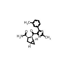 Cc1cccc(-c2sc(C)nc2C(=O)N2[C@H](C(N)=O)C[C@@H]3C[C@@H]32)c1